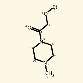 CCOCC(=O)N1CCN(C)CC1